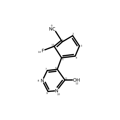 N#Cc1cccc(-c2cncnc2O)c1F